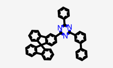 c1ccc(-c2cccc(-c3nc(-c4ccccc4)nc(-c4ccc5c(c4)-c4ccccc4C54c5ccccc5-c5ccccc54)n3)c2)cc1